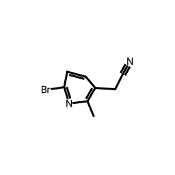 Cc1nc(Br)ccc1CC#N